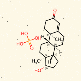 C[C@]12CC[C@H]3[C@@H](CCC4=CC(=O)CC[C@@]43C)[C@@H]1CC[C@@H]2O.O=P(O)(O)O